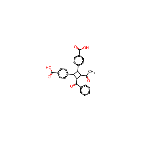 CC(=O)C1C(C(=O)c2ccccc2)C(c2ccc(C(=O)O)cc2)C1c1ccc(C(=O)O)cc1